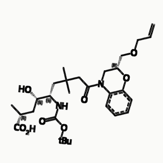 C=CCOC[C@H]1CN(C(=O)CC(C)(C)C[C@H](NC(=O)OC(C)(C)C)[C@@H](O)C[C@@H](C)C(=O)O)c2ccccc2O1